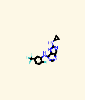 Fc1ccc(C(F)(F)F)cc1Nc1ncnc2cnc(NC3CC3)nc12